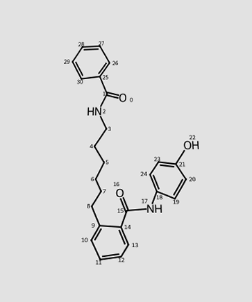 O=C(NCCCCCCc1ccccc1C(=O)Nc1ccc(O)cc1)c1ccccc1